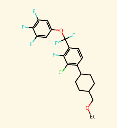 CCOCC1CCC(c2ccc(C(F)(F)Oc3cc(F)c(F)c(F)c3)c(F)c2Cl)CC1